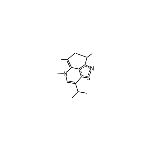 CC(C)=C1c2c(C(C)C)nsc2C(C(C)C)=CN1C